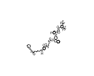 CN(CCN1CCCCC1)C(=O)CCCCCNc1ccc(C(=O)N(C)CCCN(C)C(=O)CO[C@H]2Cc3ccccc3C23CCN(CC[C@]2(c4ccc(F)cc4)CN(C(=O)c4cc(C(F)(F)F)cc(C(F)(F)F)c4)CO2)CC3)c(Cl)c1